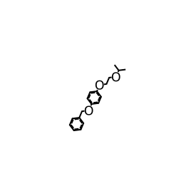 CC(C)OCCOc1ccc(OCc2ccccc2)cc1